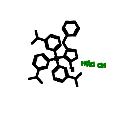 CC(C)c1cccc([Si](C2=[C]([Ti])CC=C2Cc2ccccc2)(c2cccc(C(C)C)c2)c2cccc(C(C)C)c2)c1.Cl.Cl.Cl